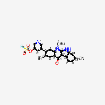 CCCCn1c2cc(-c3cncc(OS(=O)(=O)F)c3)c(C(C)C)cc2c(=O)c2c3ccc(C#N)cc3[nH]c21